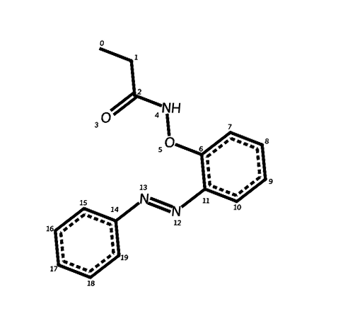 CCC(=O)NOc1ccccc1N=Nc1ccccc1